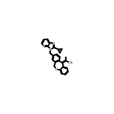 CC(C#N)=C1c2ccc(Cn3c(C4CC4)nc4cccnc43)cc2COc2ccccc21